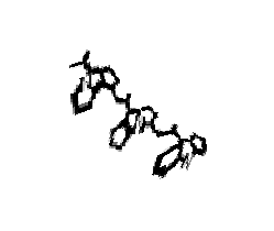 CC(C)c1c2c(c3n1CCC3)C(CC(C)c1c3c(n4c1CCC4CC(C)c1c4c(nc5c1CCC5)C=CC4)CCC3)CC2